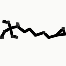 CCOC(OC)(OC)[SiH2]CCCOCC1CO1